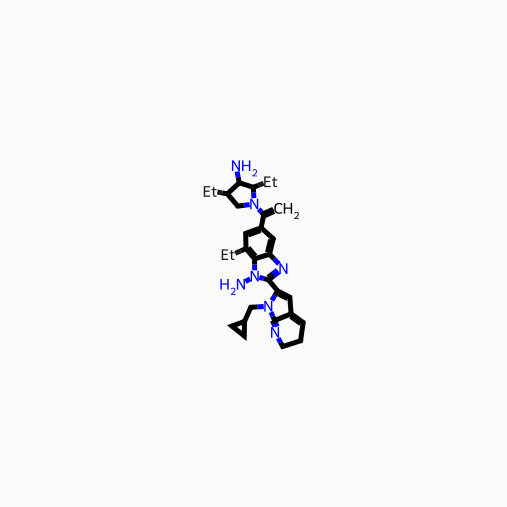 C=C(c1cc(CC)c2c(c1)nc(-c1cc3c(n1CC1CC1)=NCCC=3)n2N)N1CC(CC)C(N)C1CC